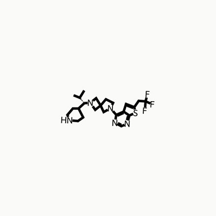 CC(C)[C@@H](C1CCNCC1)N1CC2(CCN(c3ncnc4sc(CC(F)(F)F)cc34)C2)C1